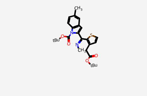 C/N=C(\c1sccc1CC(=O)OC(C)(C)C)c1cc2cc(C)ccc2n1C(=O)OC(C)(C)C